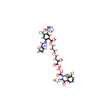 CC(C(=O)c1cccc(Cl)c1)N(C(=O)OCOC(=O)C(=O)CCOCCCOC(=O)c1cc(S(N)(=O)=O)c(Cl)cc1NCc1ccco1)C(C)(C)C